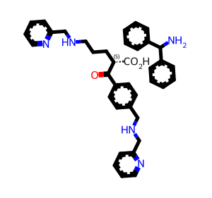 NC(c1ccccc1)c1ccccc1.O=C(O)[C@@H](CCCNCc1ccccn1)C(=O)c1ccc(CNCc2ccccn2)cc1